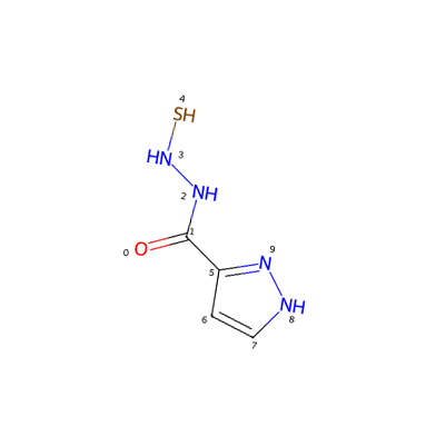 O=C(NNS)c1cc[nH]n1